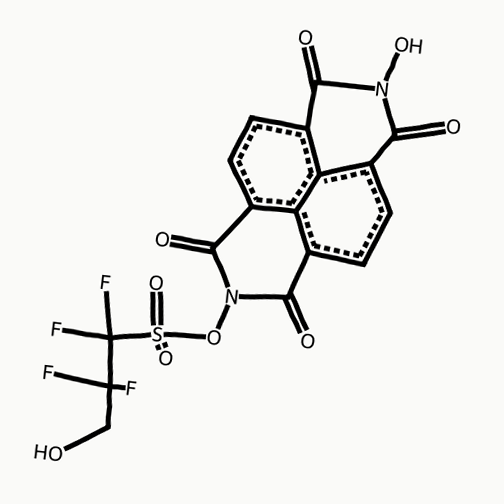 O=C1c2ccc3c4c(ccc(c24)C(=O)N1O)C(=O)N(OS(=O)(=O)C(F)(F)C(F)(F)CO)C3=O